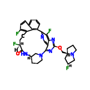 C[C@@]12CCCN(C1)c1nc(OC[C@@]34CCCN3C[C@H](F)C4)nc3c(F)c(ncc13)-c1cccc3ccc(F)c(c13)CC[C@H](F)C(=O)N2